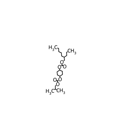 CCCCCC(CCC)COC(=O)OC1CCC(OC(=O)OCC(C)C)CC1